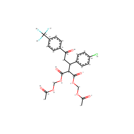 CC(=O)OCOC(=O)C(C(=O)OCOC(C)=O)C(CC(=O)c1ccc(C(F)(F)F)cc1)c1ccc(Cl)cc1